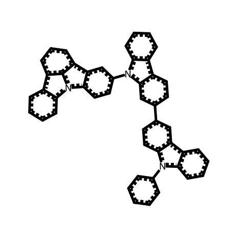 c1ccc(-n2c3ccccc3c3cc(-c4ccc5c6ccccc6n(-c6ccc7c(c6)c6cccc8c9ccccc9n7c86)c5c4)ccc32)cc1